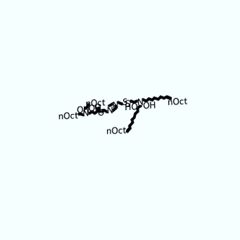 CCCCCCCC/C=C\CCCCCCC(O)CN(CCCSSCCN1CCN(CCOC(=O)CCCN(CC(O)CCCCCCCC)CC(O)CCCCCCCC)CC1)CC(O)CCCCCC/C=C\CCCCCCCC